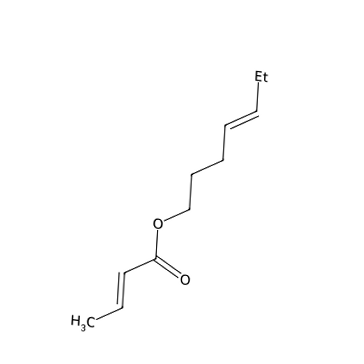 CC=CC(=O)OCCCC=CCC